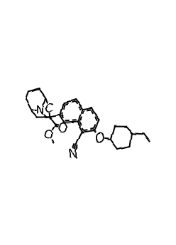 CCC1CCC(Oc2ccc3ccc(CN4C5CCCC4CC(C(=O)OC)C5)cc3c2C#N)CC1